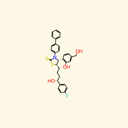 OCc1ccc([C@@H]2[C@@H](CCC[C@@H](O)c3ccc(F)cc3)SC(=S)N2c2ccc(-c3ccccc3)cc2)c(O)c1